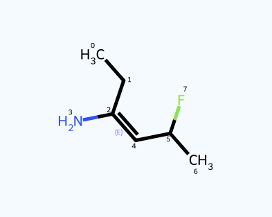 CC/C(N)=C\C(C)F